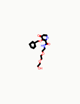 O=C1C=C[N]C(C(=O)NCCOCCOCCO)=C1OCc1ccccc1